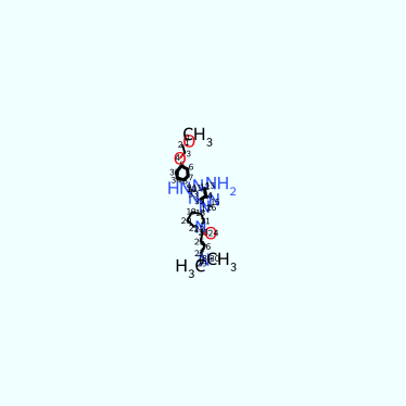 COCCOc1ccc(Nc2nc(N)c3ncn(C4CCCN(C(=O)C=CCN(C)C)C4)c3n2)cc1